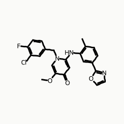 COc1cn(Cc2ccc(F)c(Cl)c2)c(Nc2cc(-c3ncco3)ccc2C)cc1=O